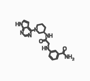 NC(=O)c1cccc(NCC(=O)N[C@@H]2CCCN(c3ncnc4[nH]ccc34)C2)c1